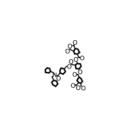 O=C(Oc1ccc(OC(=O)c2ccc3c(c2)C(=O)OC3=O)c(C(=O)OCc2ccc(C(=O)N(Cc3ccccc3)Cc3ccccc3)cc2)c1)c1ccc2c(c1)C(=O)OC2=O